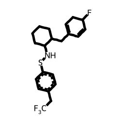 FC1C=CC(CC2CCCCC2NSc2ccc(CC(F)(F)F)cc2)=CC1